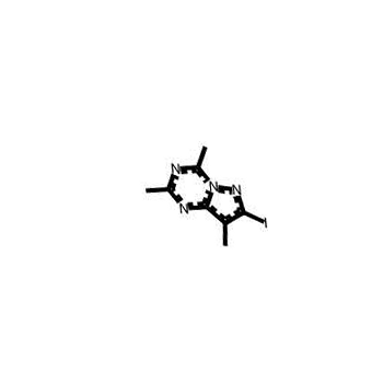 Cc1nc(C)n2nc(I)c(C)c2n1